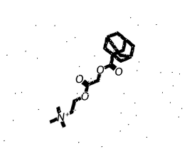 C[N+](C)(C)CCOC(=O)COC(=O)C12CC3CC(CC(C3)C1)C2